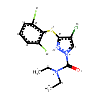 CCN(CC)C(=O)n1cc(Cl)c(Sc2c(F)cccc2F)n1